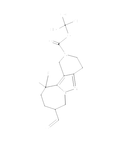 CC(C)(C)OC(=O)N1CCc2nn3c(c2C1)C(F)(F)CCC(C=O)C3